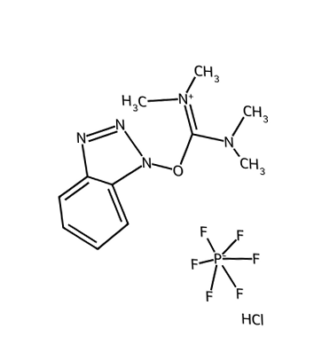 CN(C)C(On1nnc2ccccc21)=[N+](C)C.Cl.F[P-](F)(F)(F)(F)F